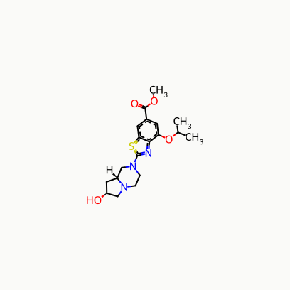 COC(=O)c1cc(OC(C)C)c2nc(N3CCN4C[C@@H](O)C[C@@H]4C3)sc2c1